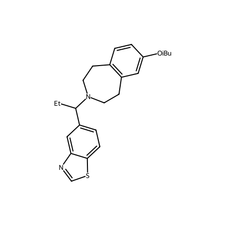 CCC(c1ccc2scnc2c1)N1CCc2ccc(OCC(C)C)cc2CC1